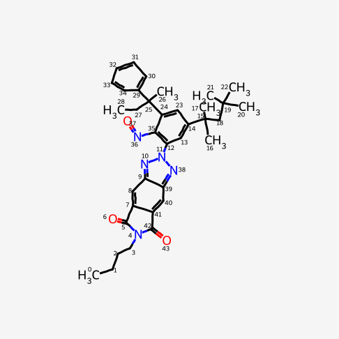 CCCCN1C(=O)c2cc3nn(-c4cc(C(C)(C)CC(C)(C)C)cc(C(C)(CC)c5ccccc5)c4N=O)nc3cc2C1=O